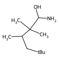 CC(CC(C)(C)C)C(C)(C)C(N)O